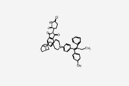 CCC(=C(c1ccc(O)cc1)c1ccc(N2CCC(CN3CC4CCC(C3)N4c3ccc4c(c3)C(=O)N(C3CCC(=O)NC3=O)C4=O)CC2)cc1)c1ccccc1